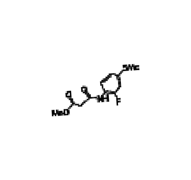 COC(=O)CC(=O)Nc1ccc(SC)cc1F